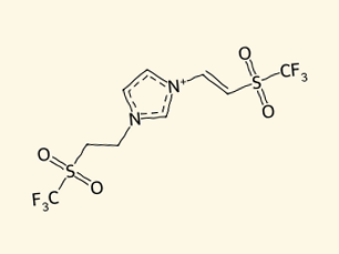 O=S(=O)(C=C[n+]1ccn(CCS(=O)(=O)C(F)(F)F)c1)C(F)(F)F